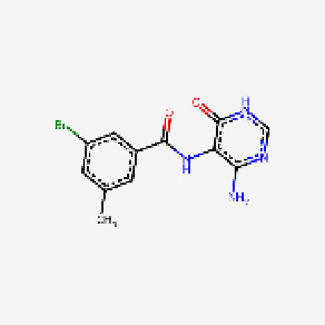 Cc1cc(Br)cc(C(=O)Nc2c(N)nc[nH]c2=O)c1